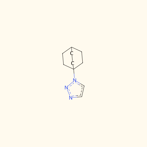 c1cn(C23CCC(CC2)CC3)nn1